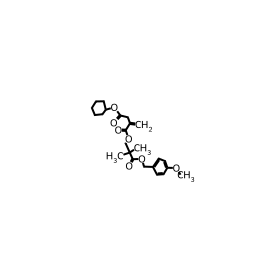 C=C(CC(=O)OC1CCCCC1)C(=O)OCC(C)(C)C(=O)OCc1ccc(OC)cc1